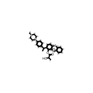 CC(O)C(=O)Oc1c(C(C)c2ccc(N3CCN(C)CC3)cc2)ccc2c1Nc1ccccc1S2